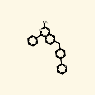 Cc1nc(-c2ccccc2)c2ccc(Cc3ccc(-c4ccccn4)cc3)cc2n1